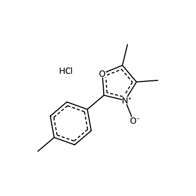 Cc1ccc(-c2oc(C)c(C)[n+]2[O-])cc1.Cl